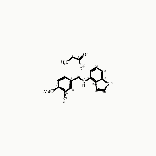 CCC(=O)O.COc1ccc(CNc2cccc3sccc23)cc1Cl